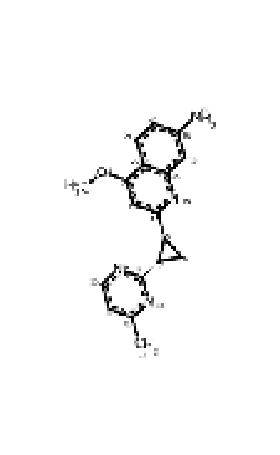 COc1cc([C@H]2C[C@@H]2c2nccc(C)n2)nc2cc(N)ccc12